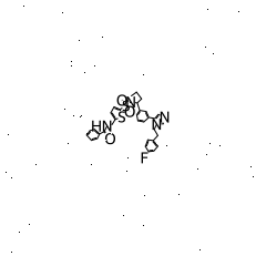 O=C(NCc1ccc(S(=O)(=O)N2CCCC2c2cccc(-c3cncn3CCc3ccc(F)cc3)c2)s1)c1ccccc1